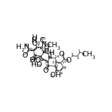 CCCCOC(=O)c1ccc(O)c2c1C[C@@H]1C[C@@H]3C(N(C)C)C(O)=C(C(N)=O)C(=O)C3(O)C(O)=C1C2=O